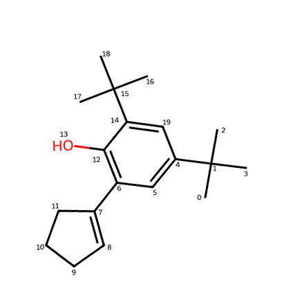 CC(C)(C)c1cc(C2=CCCC2)c(O)c(C(C)(C)C)c1